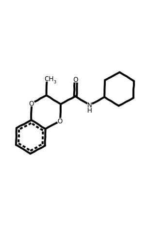 CC1Oc2ccccc2OC1C(=O)NC1CCCCC1